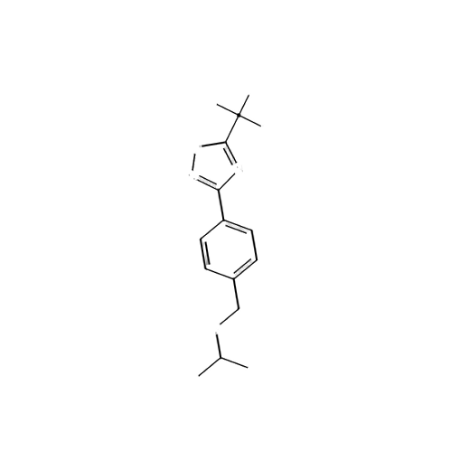 CC(C)SCc1ccc(-c2noc(C(F)(F)F)n2)cc1